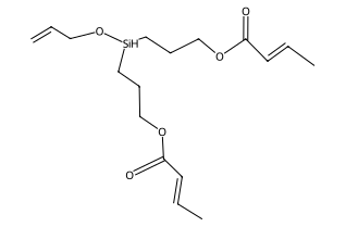 C=CCO[SiH](CCCOC(=O)C=CC)CCCOC(=O)C=CC